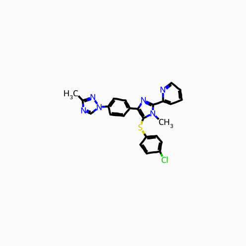 Cc1ncn(-c2ccc(-c3nc(-c4ccccn4)n(C)c3Sc3ccc(Cl)cc3)cc2)n1